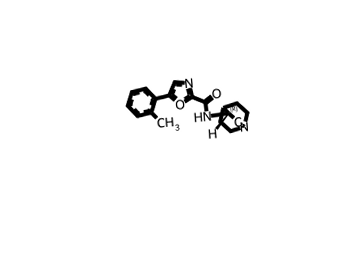 Cc1ccccc1-c1cnc(C(=O)N[C@H]2CN3CCC2CC3)o1